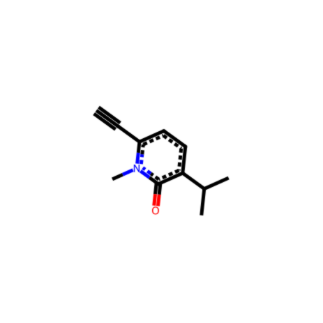 C#Cc1ccc(C(C)C)c(=O)n1C